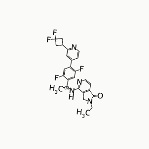 CCN1Cc2c(ccnc2N[C@@H](C)c2cc(F)c(-c3ccnc(C4CC(F)(F)C4)c3)cc2F)C1=O